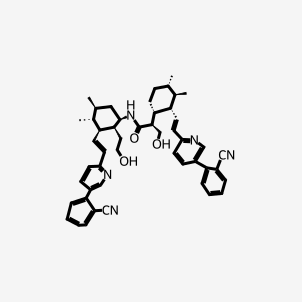 C[C@H]1[C@H](/C=C/c2ccc(-c3ccccc3C#N)cn2)[C@H]([C@@H](CO)C(=O)N[C@@H]2C[C@H](C)[C@@H](C)[C@H](/C=C/c3ccc(-c4ccccc4C#N)cn3)[C@@H]2CCO)CC[C@@H]1C